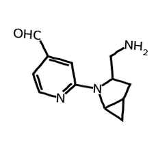 NCC1CC2CC2N1c1cc(C=O)ccn1